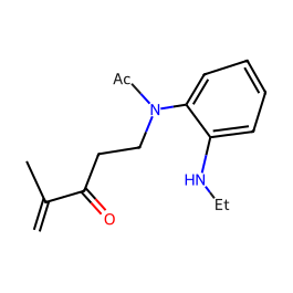 C=C(C)C(=O)CCN(C(C)=O)c1ccccc1NCC